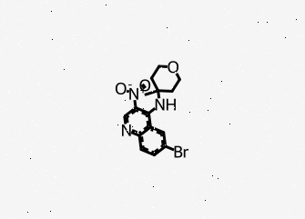 CC1(Nc2c([N+](=O)[O-])cnc3ccc(Br)cc23)CCOCC1